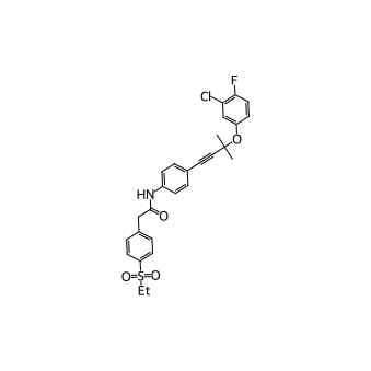 CCS(=O)(=O)c1ccc(CC(=O)Nc2ccc(C#CC(C)(C)Oc3ccc(F)c(Cl)c3)cc2)cc1